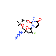 CC(C)(C)[Si](C)(C)OCC1(CN=[N+]=[N-])C[C@@H](F)[C@H](n2ccc(=O)[nH]c2=O)O1